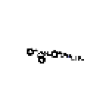 O=C/C=C/COCC1CCC(COCCN(Cc2ccccc2)Cc2ccccc2)CC1